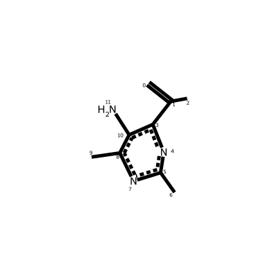 C=C(C)c1nc(C)nc(C)c1N